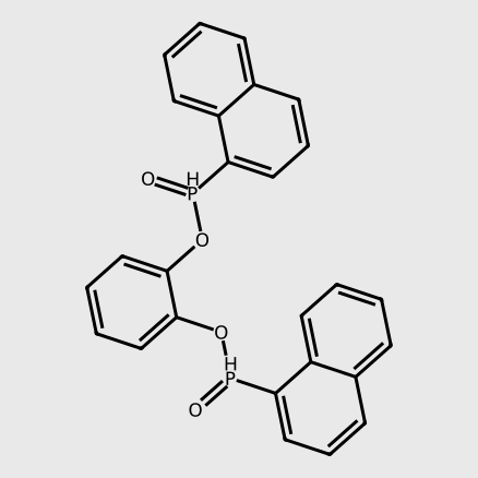 O=[PH](Oc1ccccc1O[PH](=O)c1cccc2ccccc12)c1cccc2ccccc12